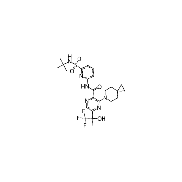 CC(C)(C)NS(=O)(=O)c1cccc(NC(=O)c2ncc(C(C)(O)C(F)(F)F)nc2N2CCC3(CC2)CC3)n1